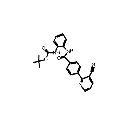 CC(C)(C)OC(=O)Nc1ccccc1NC(=O)c1ccc(-c2ncccc2C#N)cc1